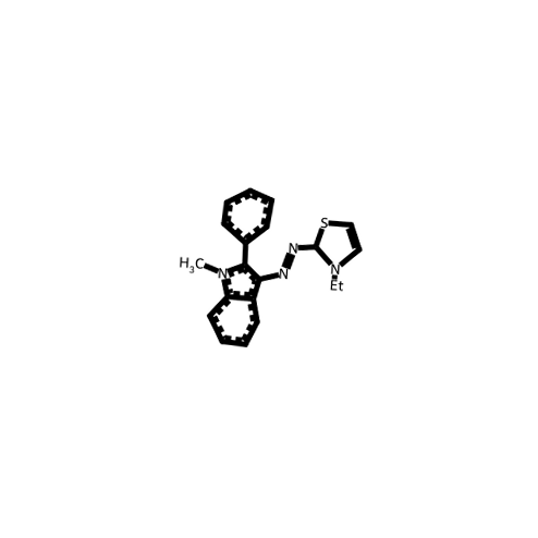 CCN1C=CSC1N=Nc1c(-c2ccccc2)n(C)c2ccccc12